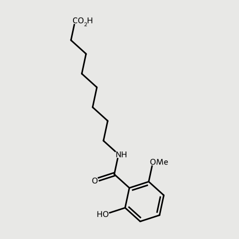 COc1cccc(O)c1C(=O)NCCCCCCCC(=O)O